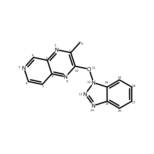 Cc1nc2cnccc2nc1On1nnc2ccccc21